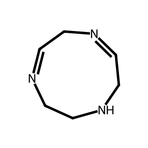 C1=NCC=NCCNC1